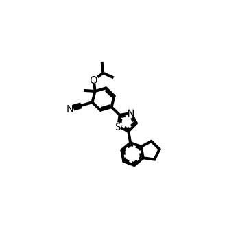 CC(C)OC1(C)C=CC(c2ncc(-c3cccc4c3CCC4)s2)=CC1C#N